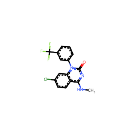 CNc1nc(=O)n(-c2cccc(C(F)(F)F)c2)c2cc(Cl)ccc12